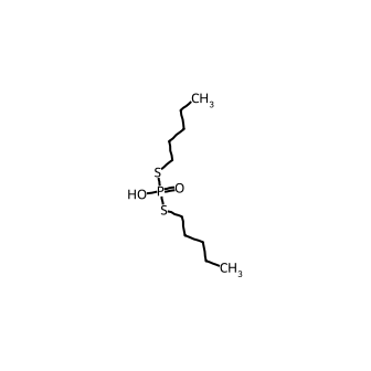 CCCCCSP(=O)(O)SCCCCC